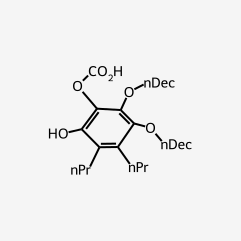 CCCCCCCCCCOc1c(CCC)c(CCC)c(O)c(OC(=O)O)c1OCCCCCCCCCC